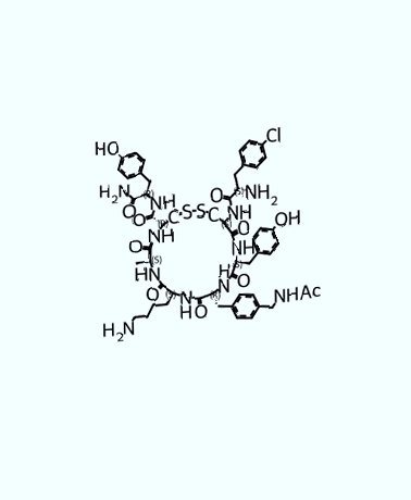 CC(=O)NCc1ccc(C[C@H]2NC(=O)[C@H](Cc3ccc(O)cc3)NC(=O)[C@H](NC(=O)[C@@H](N)Cc3ccc(Cl)cc3)CSSC[C@@H](C(=O)N[C@H](Cc3ccc(O)cc3)C(N)=O)NC(=O)[C@H](C)NC(=O)[C@H](CCCCN)NC2=O)cc1